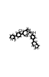 Fc1ncccc1-c1ccc(C2=CC3=CN=C(Nc4ccc(C5CCN6CCCC6C5)cc4)N(C3)OC2)c(Cl)c1